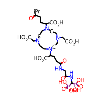 CC(C)C(=O)CCC(C(=O)O)N1CCN(CC(=O)O)CCN(C(CCC(=O)NCC(=O)NC(P(=O)(O)O)P(=O)(O)O)C(=O)O)CCN(CC(=O)O)CC1